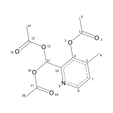 CC(=O)Oc1c(C)ccnc1C(OC(C)=O)OC(C)=O